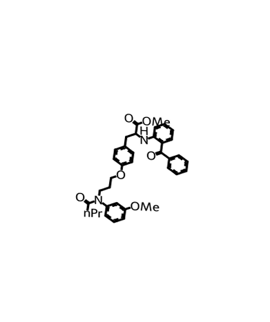 CCCC(=O)N(CCCOc1ccc(CC(Nc2ccccc2C(=O)c2ccccc2)C(=O)OC)cc1)c1cccc(OC)c1